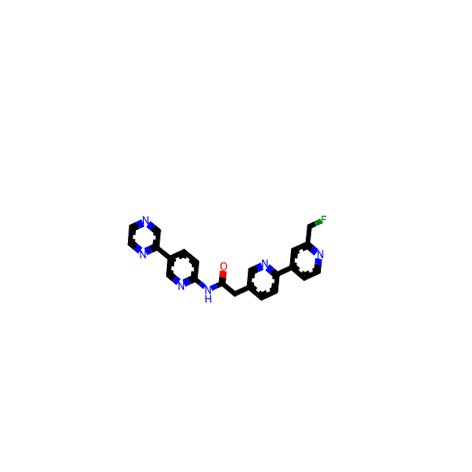 O=C(Cc1ccc(-c2ccnc(CF)c2)nc1)Nc1ccc(-c2cnccn2)cn1